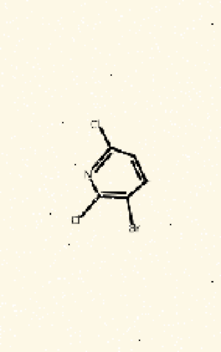 Clc1c[c]c(Br)c(Cl)n1